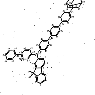 CC1(C)c2ccccc2-c2ccc(N(c3ccc(-c4ccc(C5=CC=C(C67CC8CC(CC(C8)C6)C7)CC5)cc4)cc3)c3ccc(-c4ccccc4)nc3)cc21